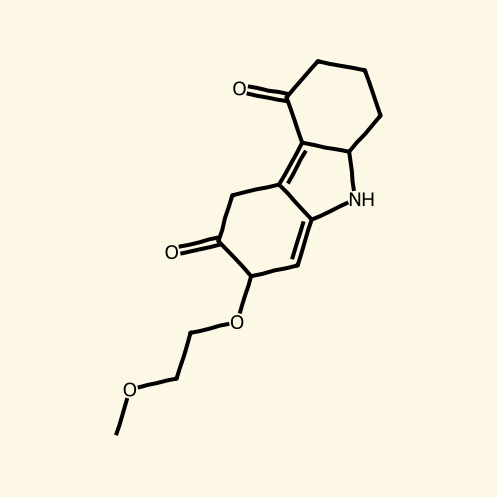 COCCOC1C=C2NC3CCCC(=O)C3=C2CC1=O